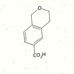 O=C(O)c1ccc2c(c1)CCOC2